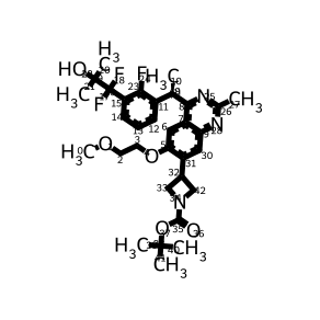 COCCOc1cc2c([C@H](C)c3cccc(C(F)(F)C(C)(C)O)c3F)nc(C)nc2cc1C1CN(C(=O)OC(C)(C)C)C1